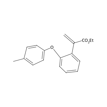 C=C(C(=O)OCC)c1ccccc1Oc1ccc(C)cc1